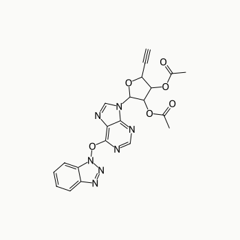 C#CC1OC(n2cnc3c(On4nnc5ccccc54)ncnc32)C(OC(C)=O)C1OC(C)=O